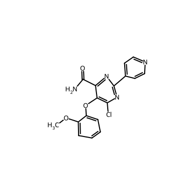 COc1ccccc1Oc1c(Cl)nc(-c2ccncc2)nc1C(N)=O